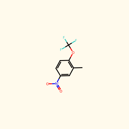 Cc1cc([N+](=O)[O-])ccc1OC(F)(F)F